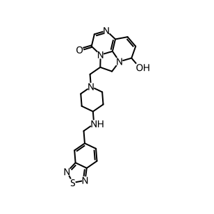 O=c1cnc2c3n1C(CN1CCC(NCc4ccc5nsnc5c4)CC1)CN3C(O)C=C2